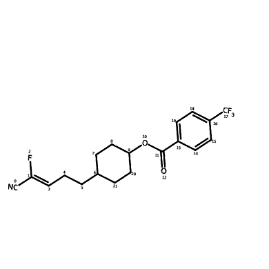 N#CC(F)=CCCC1CCC(OC(=O)c2ccc(C(F)(F)F)cc2)CC1